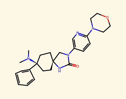 CN(C)[C@]1(c2ccccc2)CC[C@@]2(CC1)CN(c1ccc(N3CCOCC3)nc1)C(=O)N2